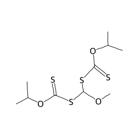 COC(SC(=S)OC(C)C)SC(=S)OC(C)C